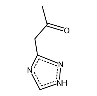 CC(=O)Cc1nc[nH]n1